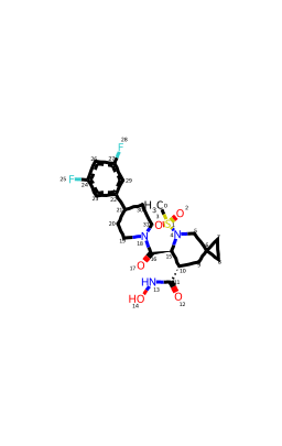 CS(=O)(=O)N1CC2(CC2)C[C@H](C(=O)NO)[C@H]1C(=O)N1CCC(c2cc(F)cc(F)c2)CC1